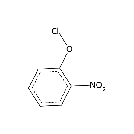 O=[N+]([O-])c1ccccc1OCl